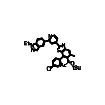 CCn1ncc2cc(-c3cc(-c4nc5cc(C)c([C@H](OC(C)(C)C)C(C)=O)c(-c6ccc(Cl)cc6)c5s4)ccn3)ccc21